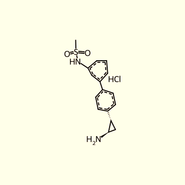 CS(=O)(=O)Nc1cccc(-c2ccc([C@@H]3C[C@H]3N)cc2)c1.Cl